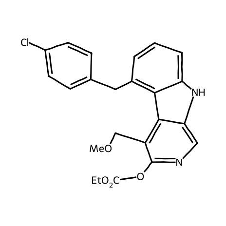 CCOC(=O)Oc1ncc2[nH]c3cccc(Cc4ccc(Cl)cc4)c3c2c1COC